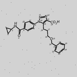 O=C(NC1CC1)c1ccc(-n2nnc(C(=O)O)c2CCCOCc2ccccc2)cc1